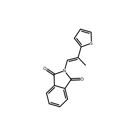 CC(=CN1C(=O)c2ccccc2C1=O)c1cccs1